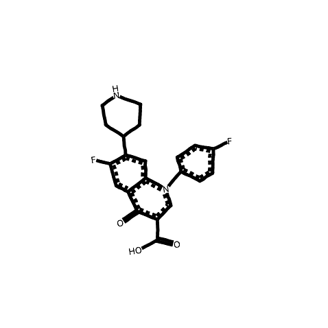 O=C(O)c1cn(-c2ccc(F)cc2)c2cc(C3CCNCC3)c(F)cc2c1=O